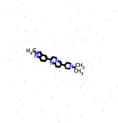 CC(C)N1CCC(C2=CN3CC=C(c4ccc5nn(C)cc5c4)N=C3C=C2)CC1